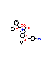 COc1ccc2c(c1OCc1ccc(C#N)cc1)CC(C(=O)O)N(C(=O)C(OC1CCCC1)c1ccccc1)C2